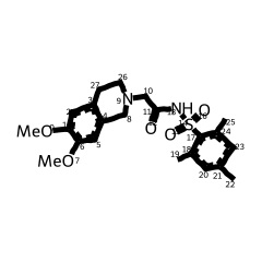 COc1cc2c(cc1OC)CN(CC(=O)NS(=O)(=O)c1c(C)cc(C)cc1C)CC2